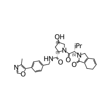 Cc1ncoc1-c1ccc(CNC(=O)[C@@H]2C[C@@H](O)CN2C(=O)[C@H](C(C)C)N2CC3=C(CCC=C3)C2=O)cc1